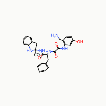 NCc1ccc(O)cc1NC(=O)C(=O)NC(Cc1ccccc1)C(=O)NC1(C(=O)O)Cc2ccccc2N1